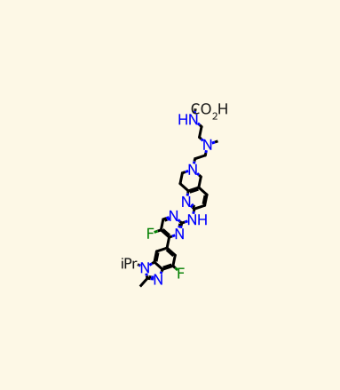 Cc1nc2c(F)cc(-c3nc(Nc4ccc5c(n4)CCN(CCN(C)CCNC(=O)O)C5)ncc3F)cc2n1C(C)C